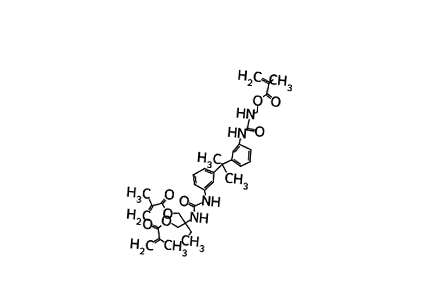 C=C(C)C(=O)OCNC(=O)Nc1cccc(C(C)(C)c2cccc(NC(=O)NC(CC)(COC(=O)C(=C)C)COC(=O)C(=C)C)c2)c1